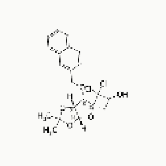 CC1(C)O[C@H]2O[C@@]3(CC(O)C3(Cl)Cl)[C@@H](OCc3ccc4ccccc4c3)[C@H]2O1